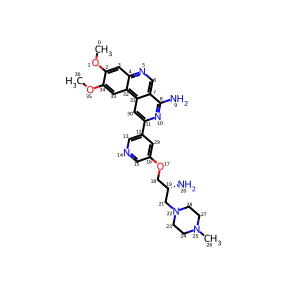 COc1cc2ncc3c(N)nc(-c4cncc(OC[C@H](N)CN5CCN(C)CC5)c4)cc3c2cc1OC